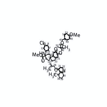 COC(=O)C1(Nc2cccc(Cl)c2)CCC2(CC1)c1cc3c(cc1C[C@@H]2C[C@@H](C)COc1ccnc2c1[C@H](C)CCC2)OCC(C)(COCc1ccc(OC)cc1)CO3